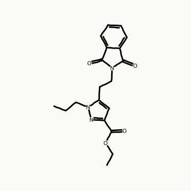 CCCn1nc(C(=O)OCC)cc1CCN1C(=O)c2ccccc2C1=O